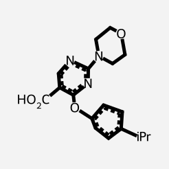 CC(C)c1ccc(Oc2nc(N3CCOCC3)ncc2C(=O)O)cc1